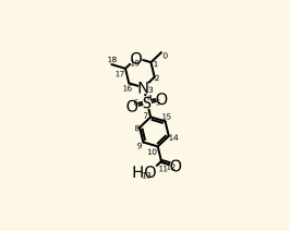 CC1CN(S(=O)(=O)c2ccc(C(=O)O)cc2)CC(C)O1